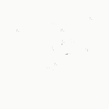 N#Cc1ccc(C(=O)/C=C2\NC(Cc3ccncc3)(Cc3ccncc3)C(=O)N2[C@H]2[C@@H]3CN(S(=O)(=O)Cc4ccccc4)C[C@@H]32)cc1